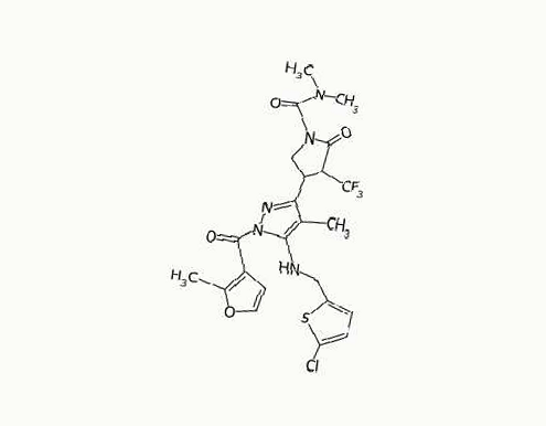 Cc1occc1C(=O)n1nc(C2CN(C(=O)N(C)C)C(=O)C2C(F)(F)F)c(C)c1NCc1ccc(Cl)s1